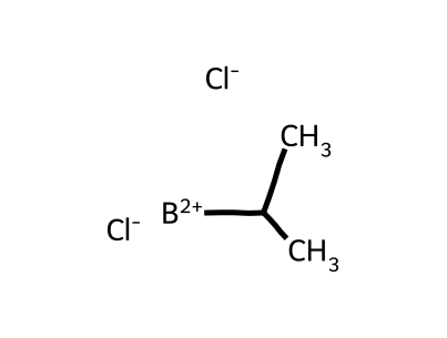 [B+2]C(C)C.[Cl-].[Cl-]